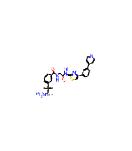 C[C@H](N)C(C)(C)c1cccc(C(=O)NCC(=O)Nc2nc(-c3cccc(-c4ccncc4)c3)cs2)c1